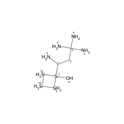 NC(CC(N)(N)N)[Si]1(O)[SiH2][SiH2][SiH2]1